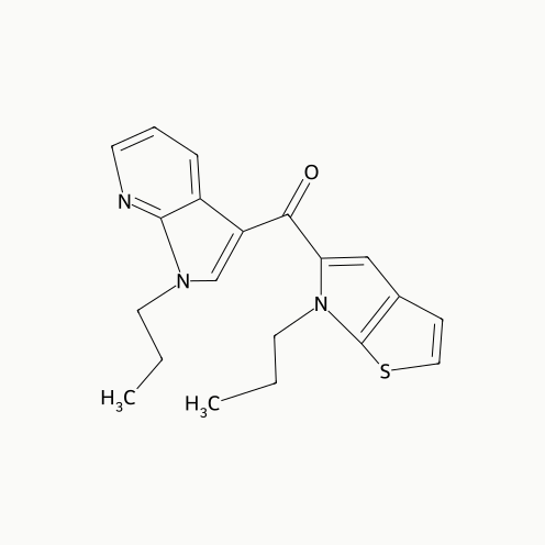 CCCn1cc(C(=O)c2cc3ccsc3n2CCC)c2cccnc21